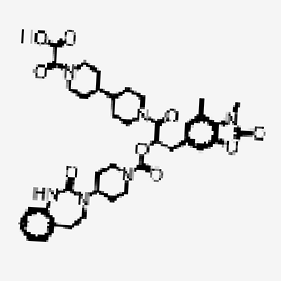 Cc1cc(C[C@@H](OC(=O)N2CCC(N3CCc4ccccc4NC3=O)CC2)C(=O)N2CCC(C3CCN(C(=O)C(=O)O)CC3)CC2)cc2oc(=O)n(C)c12